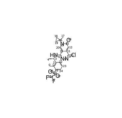 Cc1c([C@@H](C)Nc2nnc(Cl)c3cc(=O)n(C4(C)CC4)cc23)cccc1S(=O)(=O)C(F)F